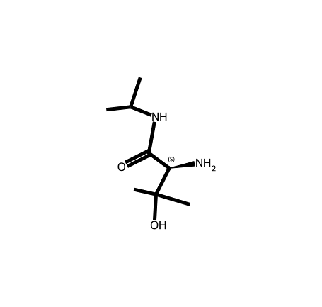 CC(C)NC(=O)[C@@H](N)C(C)(C)O